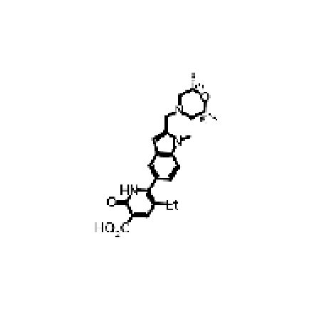 CCc1cc(C(=O)O)c(=O)[nH]c1-c1ccc2c(c1)cc(CN1C[C@@H](C)O[C@@H](C)C1)n2C